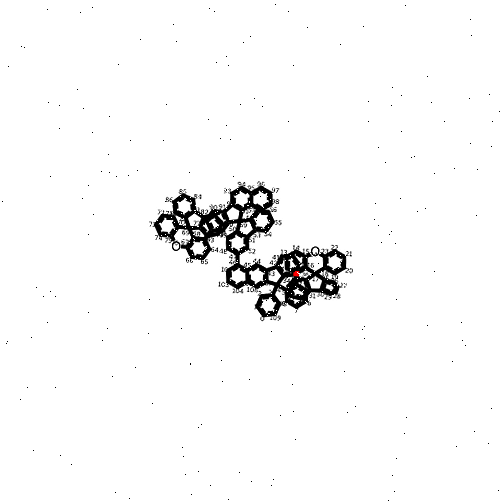 c1ccc(C2(c3ccccc3-c3cccc4c3C3(c5ccccc5O4)c4ccccc4-c4ccccc43)c3ccccc3-c3cc4c(-c5ccc6c(c5)-c5ccccc5C65c6cc(-c7cccc8c7C7(c9ccccc9O8)c8ccccc8-c8ccccc87)ccc6-c6ccc7ccccc7c65)cccc4cc32)cc1